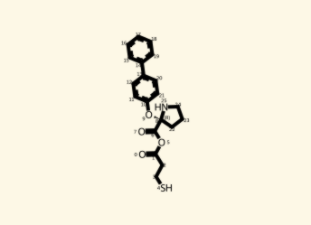 O=C(CCS)OC(=O)[C@]1(Oc2ccc(-c3ccccc3)cc2)CCCN1